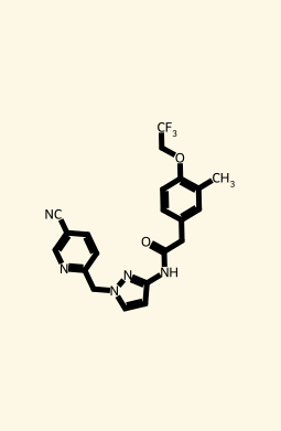 Cc1cc(CC(=O)Nc2ccn(Cc3ccc(C#N)cn3)n2)ccc1OCC(F)(F)F